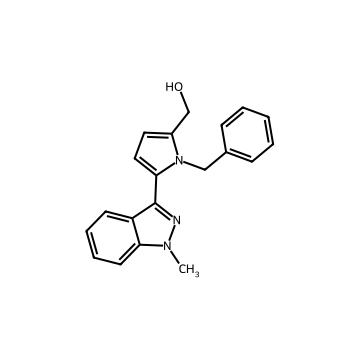 Cn1nc(-c2ccc(CO)n2Cc2ccccc2)c2ccccc21